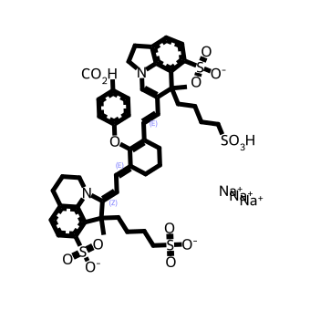 CC1(CCCCS(=O)(=O)O)C(/C=C/C2=C(Oc3ccc(C(=O)O)cc3)C(=C/C=C3\N4CCCc5ccc(S(=O)(=O)[O-])c(c54)C3(C)CCCCS(=O)(=O)[O-])/CCC2)=CN2CCc3ccc(S(=O)(=O)[O-])c1c32.[Na+].[Na+].[Na+]